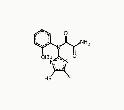 Cc1sc(N(C(=O)C(N)=O)c2ccccc2OCC(C)C)nc1S